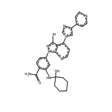 CC(C)c1nn(-c2ccc(C(N)=O)c(NC3(O)CCCCC3)c2)c2nccc(-n3cnc(-c4ccncc4)c3)c12